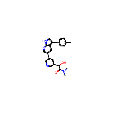 Cc1ccc(-c2c[nH]c3ncc(-c4cncc(C(O)C(=O)N(C)C)c4)cc23)cc1